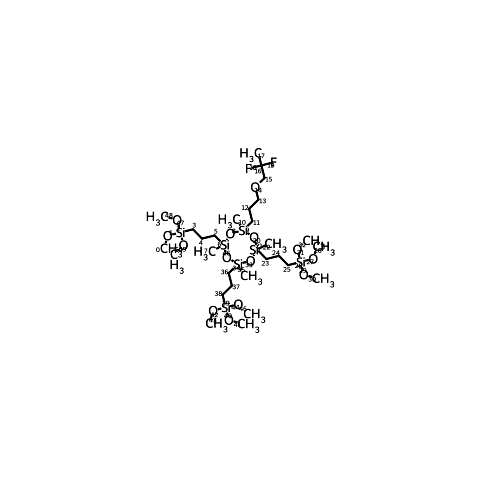 CO[Si](CCC[Si]1(C)O[Si](C)(CCCOCC(C)(F)F)O[Si](C)(CCC[Si](OC)(OC)OC)O[Si](C)(CCC[Si](OC)(OC)OC)O1)(OC)OC